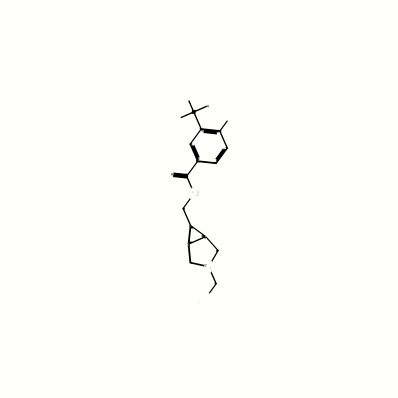 CCN1CC2C(CNC(=O)c3ccc(F)c(C(F)(F)F)c3)C2C1